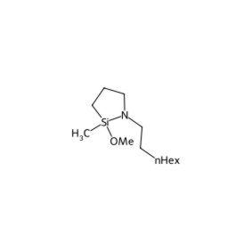 CCCCCCCCN1CCC[Si]1(C)OC